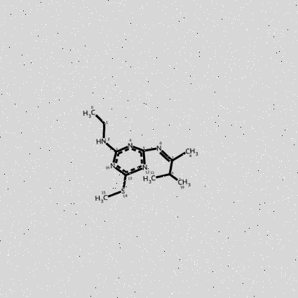 CCNc1nc(N=C(C)C(C)C)nc(SC)n1